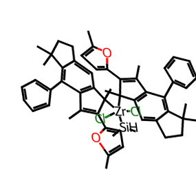 CC1=C(c2ccc(C)o2)[C](C)([Zr]([Cl])([Cl])([SiH](C)C)[C]2(C)C(c3ccc(C)o3)=C(C)c3c2cc2c(c3-c3ccccc3)C(C)(C)CC2)c2cc3c(c(-c4ccccc4)c21)C(C)(C)CC3